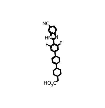 N#Cc1ccc2nc(-c3c(F)cc(C4=CC=C(C5CCC(CC(=O)O)CC5)CC4)cc3F)[nH]c2c1